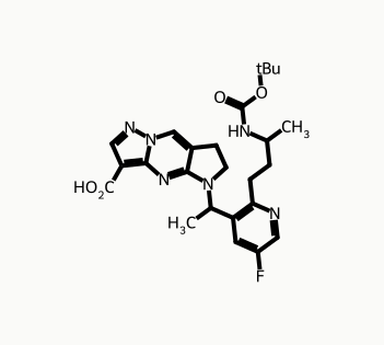 CC(CCc1ncc(F)cc1C(C)N1CCc2cn3ncc(C(=O)O)c3nc21)NC(=O)OC(C)(C)C